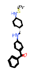 CC(C)SN[C@H]1CC[C@H](CNc2ccc(C(=O)c3ccccc3)cc2)CC1